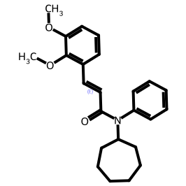 COc1cccc(/C=C/C(=O)N(c2ccccc2)C2CCCCCC2)c1OC